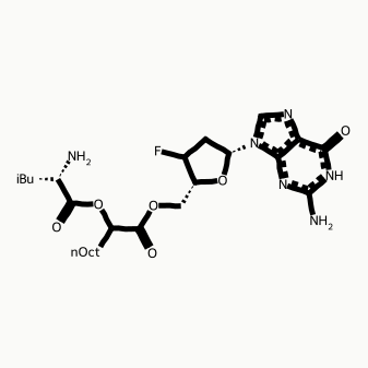 CCCCCCCCC(OC(=O)[C@@H](N)[C@@H](C)CC)C(=O)OC[C@H]1O[C@@H](n2cnc3c(=O)[nH]c(N)nc32)CC1F